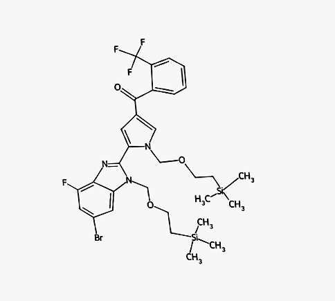 C[Si](C)(C)CCOCn1cc(C(=O)c2ccccc2C(F)(F)F)cc1-c1nc2c(F)cc(Br)cc2n1COCC[Si](C)(C)C